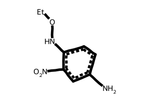 CCONc1ccc(N)cc1[N+](=O)[O-]